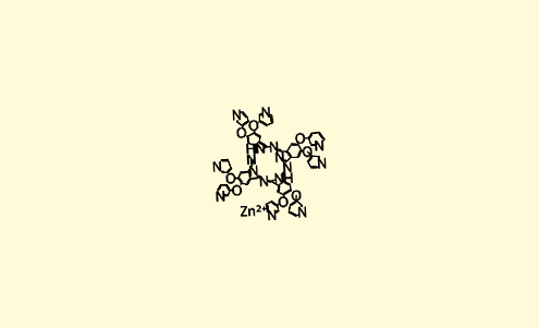 [Zn+2].c1cncc(Oc2cc3c(cc2Oc2cccnc2)-c2nc-3nc3[nH]c(nc4nc(nc5[nH]c(n2)c2cc(Oc6cccnc6)c(Oc6cccnc6)cc52)-c2cc(Oc5cccnc5)c(Oc5cccnc5)cc2-4)c2cc(Oc4cccnc4)c(Oc4cccnc4)cc32)c1